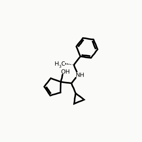 C[C@@H](NC(C1CC1)C1(O)CC=CC1)c1ccccc1